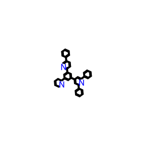 C1=CCC(c2cc(-c3cc(-c4ccccc4)nc(-c4ccccc4)c3)cc(-c3ccc(-c4ccccc4)cn3)c2)N=C1